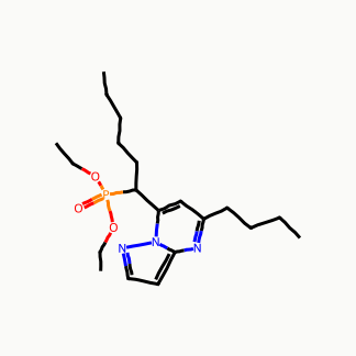 CCCCCC(c1cc(CCCC)nc2ccnn12)P(=O)(OCC)OCC